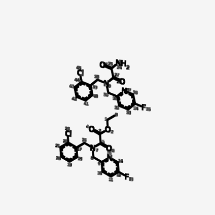 CCOC(=O)C(=O)N(Cc1ccc(F)cn1)Cc1ccccc1Cl.NC(=O)C(=O)N(Cc1ccc(F)cn1)Cc1ccccc1Cl